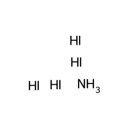 I.I.I.I.N